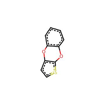 c1ccc2c(c1)Oc1ccsc1O2